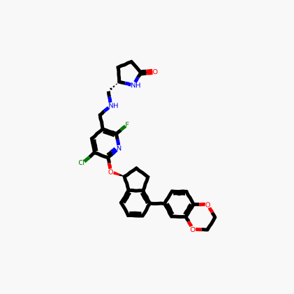 O=C1CC[C@@H](CNCc2cc(Cl)c(O[C@H]3CCc4c(-c5ccc6c(c5)OCCO6)cccc43)nc2F)N1